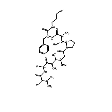 CC[C@H](C)C([C@@H](CC(=O)N1CCC[C@H]1[C@H](OC)[C@@H](C)C(=O)N[C@@H](Cc1ccccc1)C(=O)NCCCO)OC)N(C)C(=O)[C@@H](NC(=O)C(C(C)C)N(C)C)C(C)C